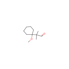 COC1(C(C)(C)C=O)CCCCC1